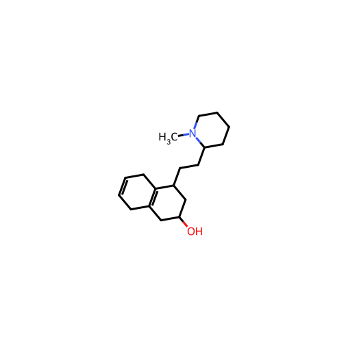 CN1CCCCC1CCC1CC(O)CC2=C1CC=CC2